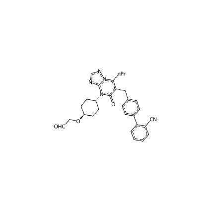 CCCc1c(Cc2ccc(-c3ccccc3C#N)cc2)c(=O)n([C@H]2CC[C@H](OCC=O)CC2)c2ncnn12